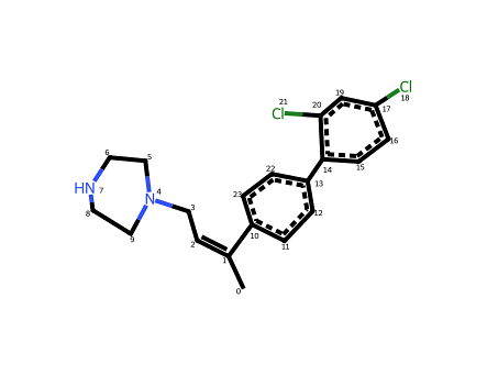 C/C(=C/CN1CCNCC1)c1ccc(-c2ccc(Cl)cc2Cl)cc1